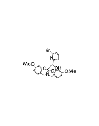 COc1ccc(CN(Cc2ccc(OC)cc2)S(=O)(=O)CC(O)c2cccc(Br)n2)cc1